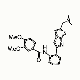 COc1ccc(C(=O)Nc2ccccc2-c2cn3cc(CN(C)C)sc3n2)cc1OC